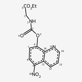 CCOC(=O)CNC(=O)Oc1ccc([N+](=O)[O-])c2cccnc12